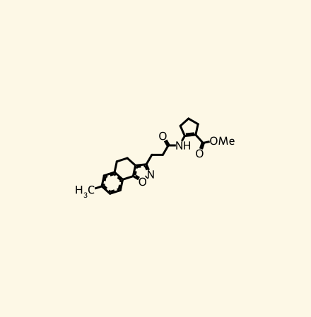 COC(=O)C1=C(NC(=O)CCc2noc3c2CCc2cc(C)ccc2-3)CCC1